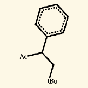 CC(=O)C(CC(C)(C)C)c1ccccc1